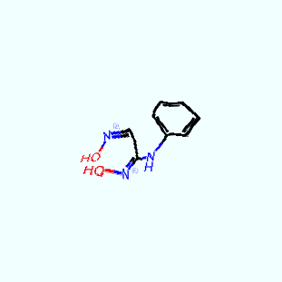 O/N=C\C(=N/O)Nc1ccccc1